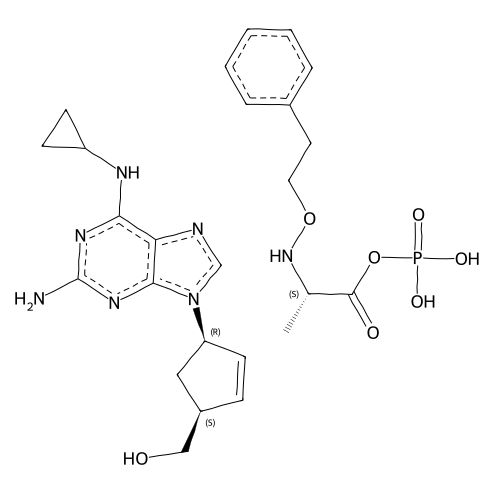 C[C@H](NOCCc1ccccc1)C(=O)OP(=O)(O)O.Nc1nc(NC2CC2)c2ncn([C@H]3C=C[C@@H](CO)C3)c2n1